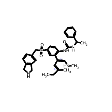 CC/C(C)=C/C(=C\NC)c1cc(S(=O)(=O)Cc2ccc3c(c2)CNC3)ccc1NC(=O)NC(C)c1ccccc1